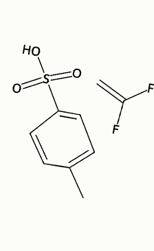 C=C(F)F.Cc1ccc(S(=O)(=O)O)cc1